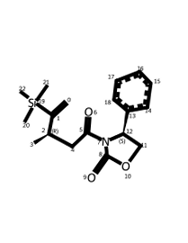 C=C([C@H](C)CC(=O)N1C(=O)OC[C@@H]1c1ccccc1)[Si](C)(C)C